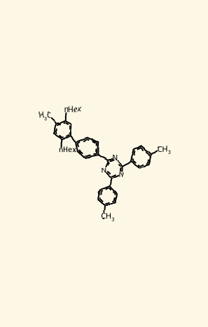 CCCCCCc1cc(-c2ccc(-c3nc(-c4ccc(C)cc4)nc(-c4ccc(C)cc4)n3)cc2)c(CCCCCC)cc1C